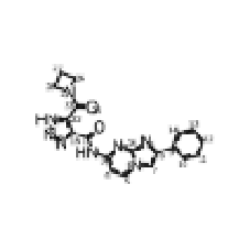 O=C(Nc1ccn2cc(-c3ccccc3)nc2n1)c1nn[nH]c1C(=O)N1CCC1